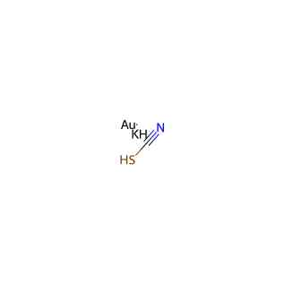 N#CS.[Au].[KH]